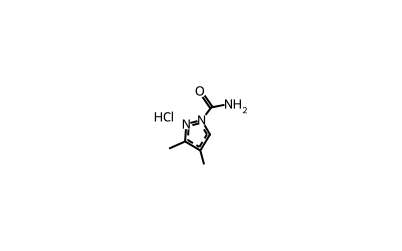 Cc1cn(C(N)=O)nc1C.Cl